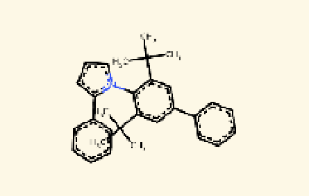 CC(C)(C)c1cc(-c2ccccc2)cc(C(C)(C)C)c1-n1cccc1-c1ccccc1